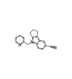 N#Cc1ccc2c(c1)c1c(n2Cc2ccccn2)CCC1